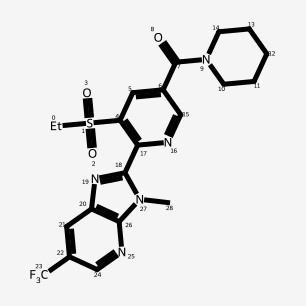 CCS(=O)(=O)c1cc(C(=O)N2CCCCC2)cnc1-c1nc2cc(C(F)(F)F)cnc2n1C